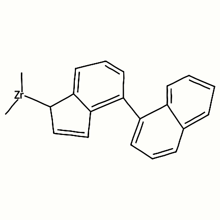 [CH3][Zr]([CH3])[CH]1C=Cc2c(-c3cccc4ccccc34)cccc21